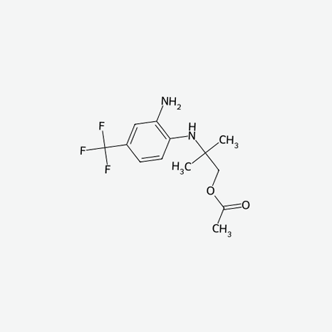 CC(=O)OCC(C)(C)Nc1ccc(C(F)(F)F)cc1N